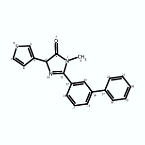 CN1C(=O)C(c2ccsc2)N=C1c1cccc(-c2ccccc2)c1